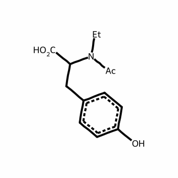 CCN(C(C)=O)C(Cc1ccc(O)cc1)C(=O)O